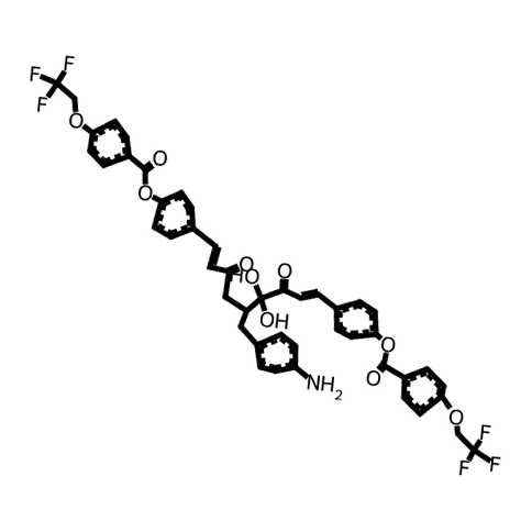 Nc1ccc(CC(CC(=O)/C=C/c2ccc(OC(=O)c3ccc(OCC(F)(F)F)cc3)cc2)C(O)(O)C(=O)/C=C/c2ccc(OC(=O)c3ccc(OCC(F)(F)F)cc3)cc2)cc1